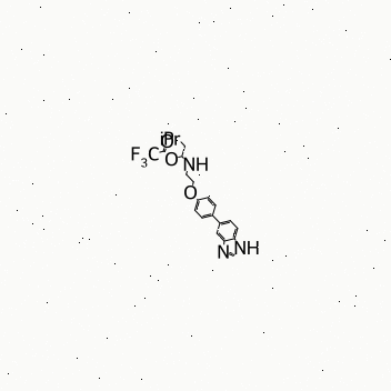 CC(C)CC(NCCOc1ccc(-c2ccc3[nH]cnc3c2)cc1)OC(=O)C(F)(F)F